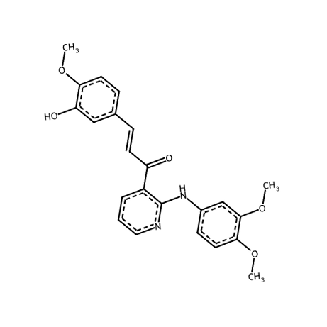 COc1ccc(C=CC(=O)c2cccnc2Nc2ccc(OC)c(OC)c2)cc1O